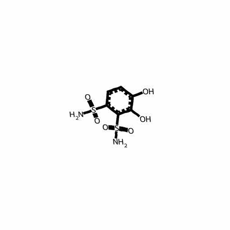 NS(=O)(=O)c1ccc(O)c(O)c1S(N)(=O)=O